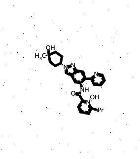 CC(C)c1cccc(C(=O)Nc2cc3cn([C@H]4CC[C@](C)(O)CC4)nc3cc2-c2ccccn2)[n+]1O